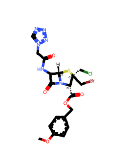 COc1ccc(COC(=O)[C@@H]2N3C(=O)C(NC(=O)Cn4cnnn4)[C@@H]3S[C@@]2(CCl)CBr)cc1